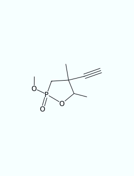 C#CC1(C)CP(=O)(OC)OC1C